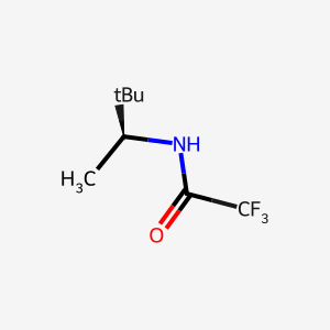 C[C@H](NC(=O)C(F)(F)F)C(C)(C)C